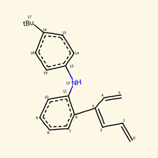 C=C/C=C(\C=C)c1ccccc1Nc1ccc(C(C)(C)C)cc1